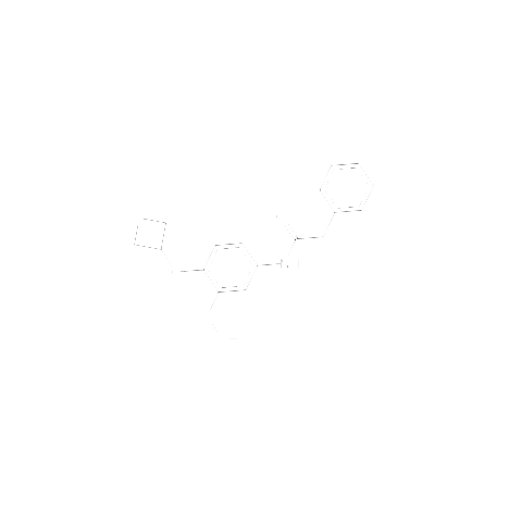 O=C(Cc1ccccc1)Nc1ccc(OC2COC2)c(SO)c1